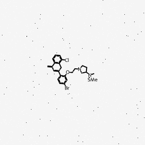 C=C1C=C(c2ccc(Br)cc2OCCN2CCC(N(C)SC)C2)Cc2c(Cl)cccc21